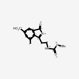 Cc1cc(C(=O)O)cc2c1C(CCNC(=O)OC(C)(C)C)=NC2=O